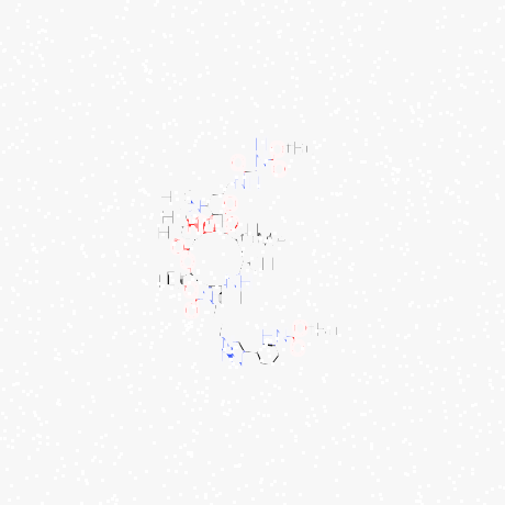 CC[C@H]1OC(=O)[C@H](C)C(=O)[C@H](C)[C@@H](O[C@@H]2OC(CNC(=O)CNC(=O)OC(C)(C)C)CC(N(C)C)C2O)[C@](C)(OC)C[C@@H](C)CN[C@H](C)[C@H]2N(CCCCn3cc(-c4cccc(NC(=O)OC(C)(C)C)c4)nn3)C(=O)O[C@]12C